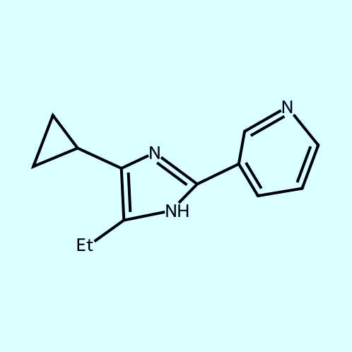 [CH2]Cc1[nH]c(-c2cccnc2)nc1C1CC1